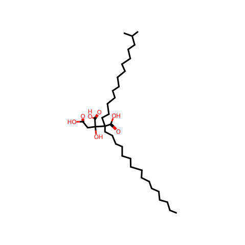 CCCCCCCCCCCCCCCCC(CCCCCCCCCCCCC(C)C)(C(=O)O)C(O)(CC(=O)O)C(=O)O